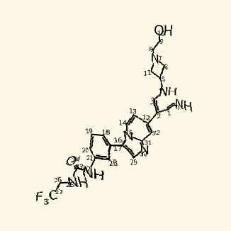 N=C/C(=C\NC1CN(CCO)C1)c1ccn2c(-c3cccc(NC(=O)NCC(F)(F)F)c3)cnc2c1